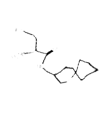 CC(C)C[C@H](N)C(=O)NC1COC2(CCCC2)C1